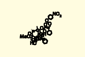 COC1C[C@H]2OC[C@@]2(OC(C)=O)[C@H]2[C@H](OC(=O)c3ccccc3)[C@]3(O)CC(OC(=O)[C@H](OC(=O)Oc4ccc([N+](=O)[O-])cc4)[C@@H](C)c4ccccc4)C(C)=C([C@@H](C)C(=O)C12C)C3(C)C